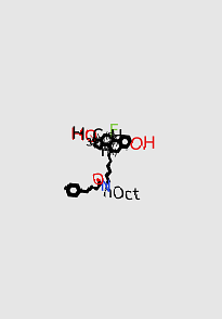 CCCCCCCCN(CCCCCC[C@@H]1Cc2cc(O)ccc2[C@@H]2[C@@H]1[C@@H]1CC[C@H](O)[C@@]1(C)C[C@@H]2F)C(=O)CCCc1ccccc1